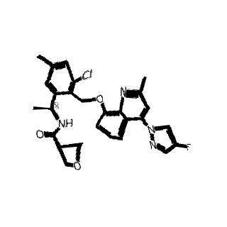 Cc1cc(Cl)c(COc2cccc3c(-n4cc(F)cn4)cc(C)nc23)c([C@H](C)NC(=O)C2COC2)c1